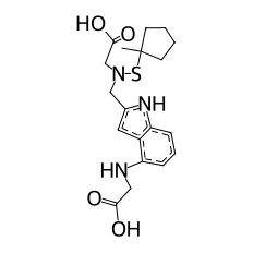 CC1(SN(CC(=O)O)Cc2cc3c(NCC(=O)O)cccc3[nH]2)CCCC1